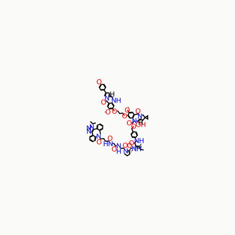 CC[C@H](C)[C@H](NC(=O)[C@H]1CCCN1C(=O)CNC(=O)CNC(=O)CCC(=O)N1Cc2ccccc2-c2c(nnn2C(C)C)-c2ccccc21)C(=O)Nc1ccc(COC(=O)N2c3cc(OCCCOc4cc5c(cc4OC)C(=O)N4C=C(c6ccc(OC)cc6)C[C@H]4CN5)c(OC)cc3C(=O)N3CC4(CC4)C[C@H]3C2O)cc1